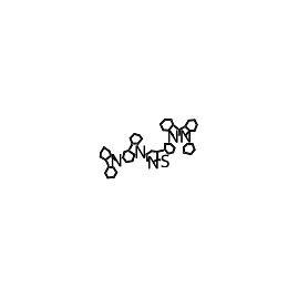 c1ccc(-n2c3ccccc3c3c4ccccc4n(-c4ccc5sc6ncc(-n7c8ccccc8c8cc(-n9c%10ccccc%10c%10ccccc%109)ccc87)cc6c5c4)c32)cc1